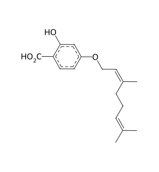 CC(C)=CCCC(C)=CCOc1ccc(C(=O)O)c(O)c1